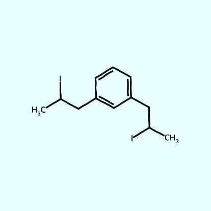 CC(I)Cc1cccc(CC(C)I)c1